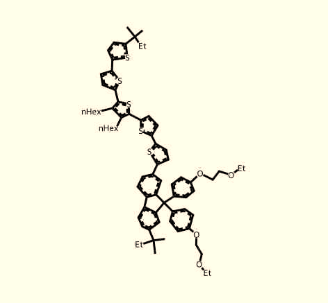 CCCCCCc1c(-c2ccc(-c3ccc(-c4ccc5c(c4)C(c4ccc(OCCOCC)cc4)(c4ccc(OCCOCC)cc4)c4cc(C(C)(C)CC)ccc4-5)s3)s2)sc(-c2ccc(-c3ccc(C(C)(C)CC)s3)s2)c1CCCCCC